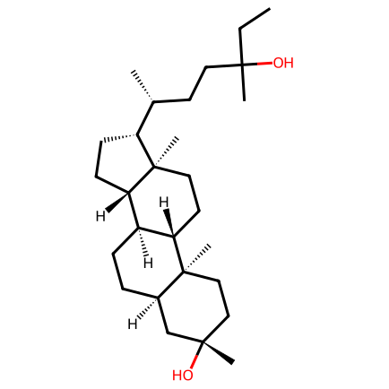 CCC(C)(O)CC[C@@H](C)[C@H]1CC[C@H]2[C@@H]3CC[C@@H]4C[C@@](C)(O)CC[C@]4(C)[C@H]3CC[C@]12C